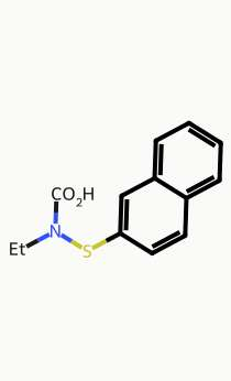 CCN(Sc1ccc2ccccc2c1)C(=O)O